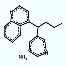 CCCC(c1cccnc1)c1ccnc2ccccc12.N